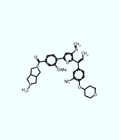 C=Nc1cc(-c2ccc(C(=O)N3CC4CN(C)CC4C3)cc2OC)oc1/C(=C\C)c1ccc(OC2CCOCC2)c(C#N)c1